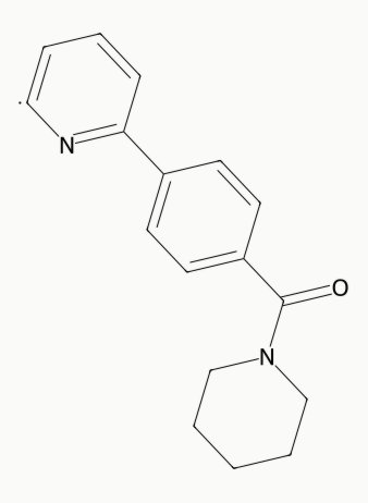 O=C(c1ccc(-c2ccc[c]n2)cc1)N1CCCCC1